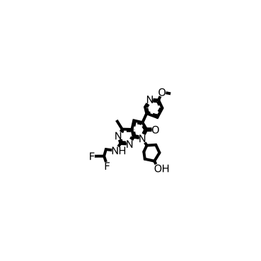 COc1ccc(-c2cc3c(C)nc(NCC(F)F)nc3n(C3CCC(O)CC3)c2=O)cn1